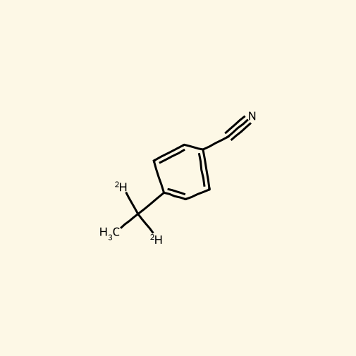 [2H]C([2H])(C)c1ccc(C#N)cc1